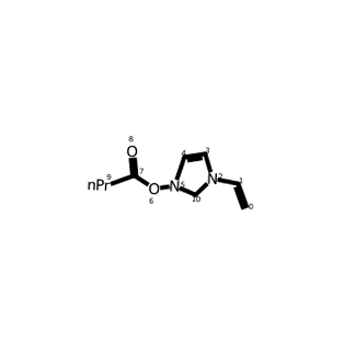 C=CN1C=CN(OC(=O)CCC)C1